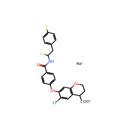 O=C(NC(F)Cc1ccc(F)cc1)c1ccc(Oc2cc3c(cc2Cl)C(C(=O)[O-])CCO3)cc1.[Na+]